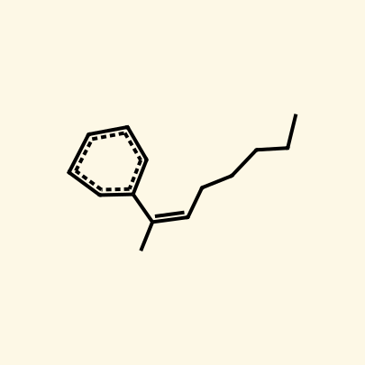 CCCCC/C=C(/C)c1ccccc1